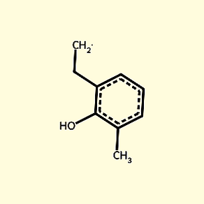 [CH2]Cc1cccc(C)c1O